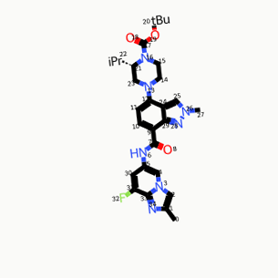 Cc1cn2cc(NC(=O)c3ccc(N4CCN(C(=O)OC(C)(C)C)[C@@H](C(C)C)C4)c4cn(C)nc34)cc(F)c2n1